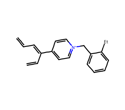 C=C/C=C(\C=C)c1cc[n+](Cc2ccccc2CC)cc1